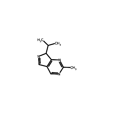 Cc1ncc2c(n1)C(C(C)C)N=C2